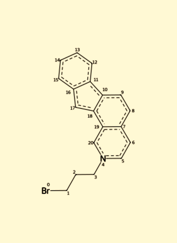 BrCCCn1ccc2ccc3c4ccccc4cc3c2c1